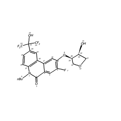 CCCCn1c(=O)c2cc(F)c(O[C@@H]3COC[C@@H]3O)cc2c2cc(C(O)(C(F)(F)F)C(F)(F)F)ccc21